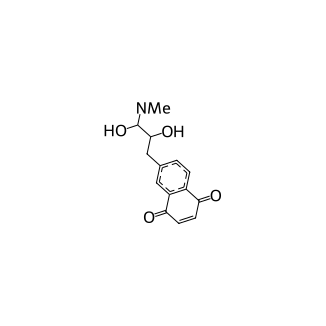 CNC(O)C(O)Cc1ccc2c(c1)C(=O)C=CC2=O